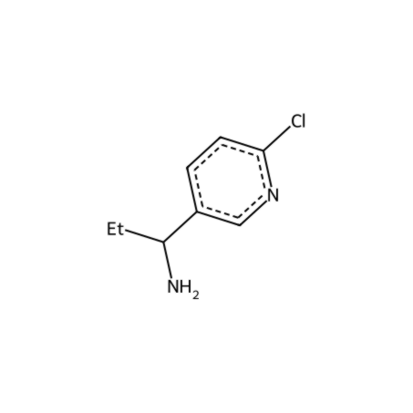 CCC(N)c1ccc(Cl)nc1